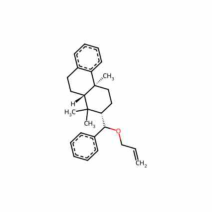 C=CCOC(c1ccccc1)[C@H]1CC[C@]2(C)c3ccccc3CC[C@H]2C1(C)C